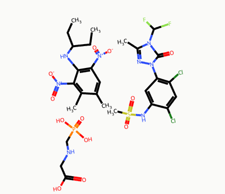 CCC(CC)Nc1c([N+](=O)[O-])cc(C)c(C)c1[N+](=O)[O-].Cc1nn(-c2cc(NS(C)(=O)=O)c(Cl)cc2Cl)c(=O)n1C(F)F.O=C(O)CNCP(=O)(O)O